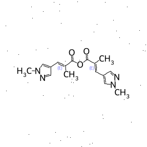 C/C(=C\c1cnn(C)c1)C(=O)OC(=O)/C(C)=C/c1cnn(C)c1